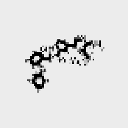 CNC(=O)c1nc(-c2cccc(C(=O)NCc3c(Cl)cccc3Oc3ccccc3)c2)cnc1N